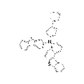 c1ccc(-c2ccc(N(c3ccc4c(c3)sc3ccccc34)c3cccc4c3ccc3sc5ccccc5c34)cc2)cc1